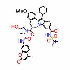 COc1ccc2c(c1)CC(C(=O)N1C[C@H](O)C[C@H]1C(=O)Nc1ccc3c(C)cc(=O)oc3c1)Cn1c-2c(C2CCCCC2)c2ccc(C(=O)NS(=O)(=O)N(C)C)cc21